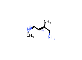 C/N=C\C=C(/C)CN